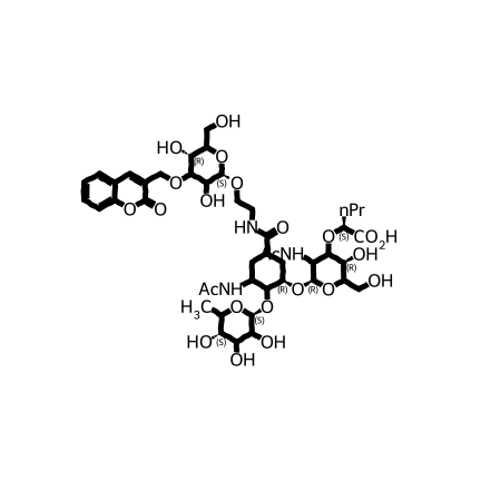 CCC[C@H](OC1C(NC(C)=O)[C@H](O[C@@H]2CC(C(=O)NCCO[C@H]3OC(CO)[C@@H](O)C(OCc4cc5ccccc5oc4=O)C3O)CC(NC(C)=O)C2O[C@@H]2OC(C)[C@@H](O)C(O)C2O)OC(CO)[C@@H]1O)C(=O)O